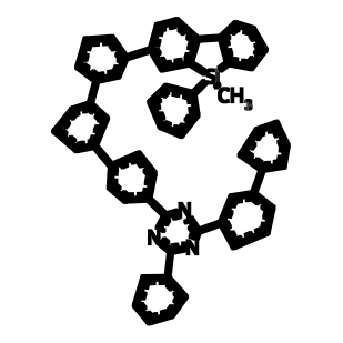 C[Si]1(c2ccccc2)c2ccccc2-c2ccc(-c3cccc(-c4cccc(-c5ccc(-c6nc(-c7ccccc7)nc(-c7cccc(-c8ccccc8)c7)n6)cc5)c4)c3)cc21